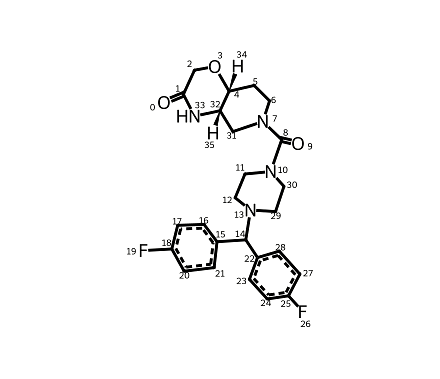 O=C1CO[C@@H]2CCN(C(=O)N3CCN(C(c4ccc(F)cc4)c4ccc(F)cc4)CC3)C[C@@H]2N1